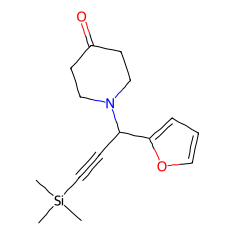 C[Si](C)(C)C#CC(c1ccco1)N1CCC(=O)CC1